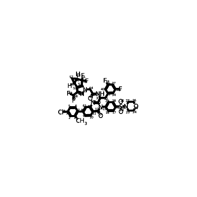 Cc1cc(Cl)ccc1-c1ccc2c(=O)n(-c3ccc(S(=O)(=O)N4CCOCC4)cc3)c(C(Cc3cc(F)cc(F)c3)NC(=O)Cn3nc(C(F)F)c4c3C(F)(F)[C@@H]3C[C@H]43)nc2c1